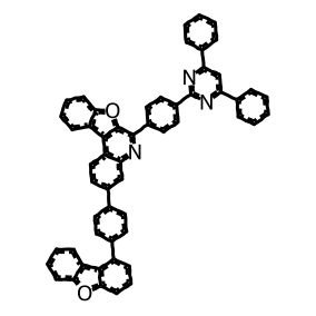 c1ccc(-c2cc(-c3ccccc3)nc(-c3ccc(-c4nc5cc(-c6ccc(-c7cccc8oc9ccccc9c78)cc6)ccc5c5c4oc4ccccc45)cc3)n2)cc1